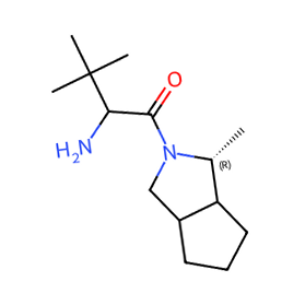 C[C@@H]1C2CCCC2CN1C(=O)C(N)C(C)(C)C